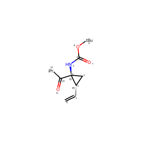 C=C[C@H]1C[C@@]1(NC(=O)OC(C)(C)C)C(=O)C(C)C